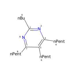 [CH2]CCCc1nc(CCCCC)c(CCCCC)c(CCCCC)n1